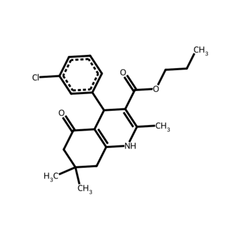 CCCOC(=O)C1=C(C)NC2=C(C(=O)CC(C)(C)C2)C1c1cccc(Cl)c1